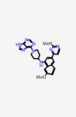 CNc1nccc(-c2cc(NC3CCN(c4ncnc5[nH]cnc45)CC3)c3cc(OC)ccc3c2)n1